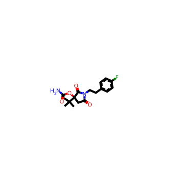 CC(C)(C)C1(OC(N)=O)CC(=O)N(CCc2ccc(F)cc2)C1=O